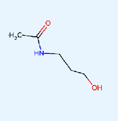 [CH2]C(=O)NCCCO